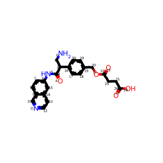 NCC(C(=O)Nc1ccc2cnccc2c1)c1ccc(COC(=O)CCC(=O)O)cc1